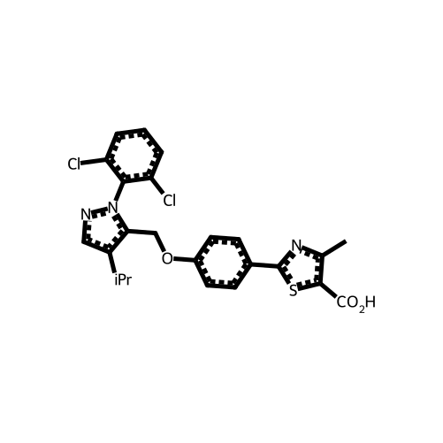 Cc1nc(-c2ccc(OCc3c(C(C)C)cnn3-c3c(Cl)cccc3Cl)cc2)sc1C(=O)O